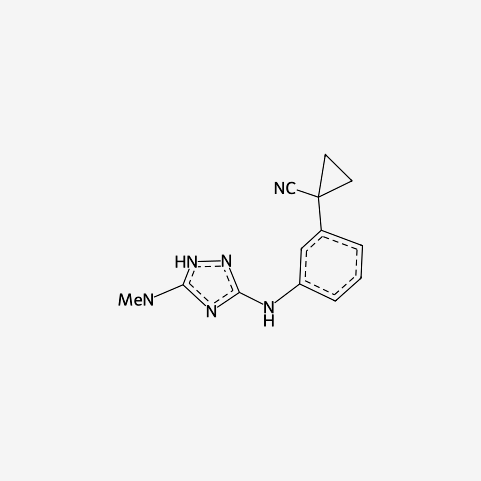 CNc1nc(Nc2cccc(C3(C#N)CC3)c2)n[nH]1